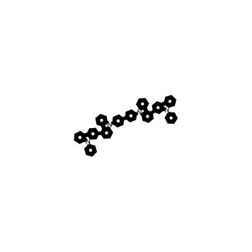 c1ccc(-n2c3ccccc3c3ccc(-c4cccc5c4c4ccccc4n5-c4ccc(-c5ccc(-n6c7ccccc7c7c(-c8ccc9c%10ccccc%10n(-c%10ccccc%10)c9c8)cccc76)cc5)cc4)cc32)cc1